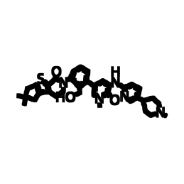 CN1CCC(c2ccc(Nc3cc(-c4cccc(N5CCc6c(sc7c6CC(C)(C)C7)C5=O)c4CO)cn(C)c3=O)nc2)CC1